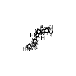 COc1cc(Nc2ccnc3[nH]c(C4=CCN(C(=O)[C@H]5CCCNC5)CC4)cc23)c(OC)cc1Cl